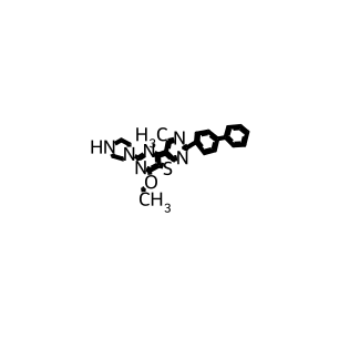 CCOc1nc(N2CCNCC2)nc2c1sc1nc(-c3ccc(-c4ccccc4)cc3)nc(C)c12